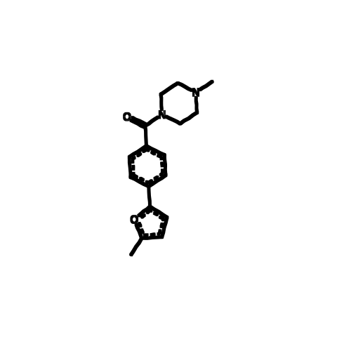 Cc1ccc(-c2ccc(C(=O)N3CCN(C)CC3)cc2)o1